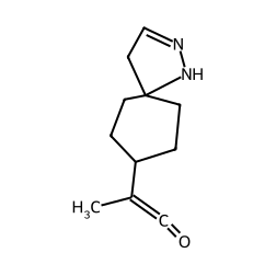 CC(=C=O)C1CCC2(CC=NN2)CC1